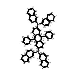 C1=Cc2cc(N(c3ccc4ccccc4c3)c3ccc4c(-c5ccccc5)c5cc(N(c6ccc7ccccc7c6)c6ccc7ccccc7c6)ccc5c(-c5ccccc5)c4c3)ccc2CC1